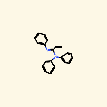 C=CC(=Nc1ccccc1)N(c1ccccc1)c1ccccc1